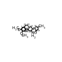 COc1cc2c(cc1OC)[C@@H]1C[C@H](N)[C@@H](N3C[C@H](C)CC3=O)CN1CC2